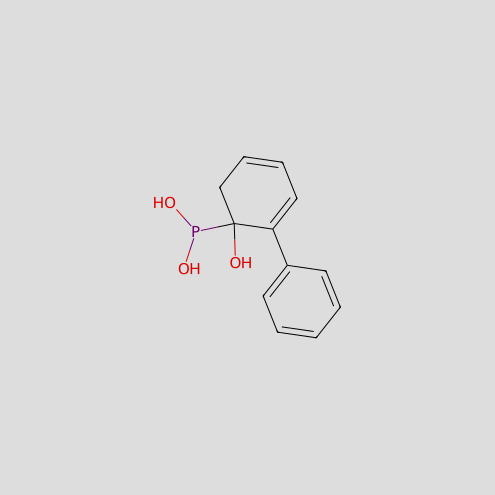 OP(O)C1(O)CC=CC=C1c1ccccc1